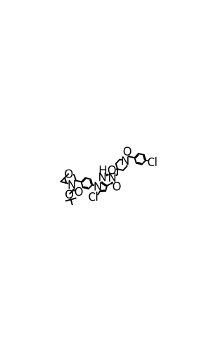 CC(C)(C)OC(=O)N1C(c2ccc(-n3c(Cl)cc4c(=O)n(CC5(O)CCN(C(=O)c6ccc(Cl)cc6)CC5)cnc43)cc2)COC2CC21